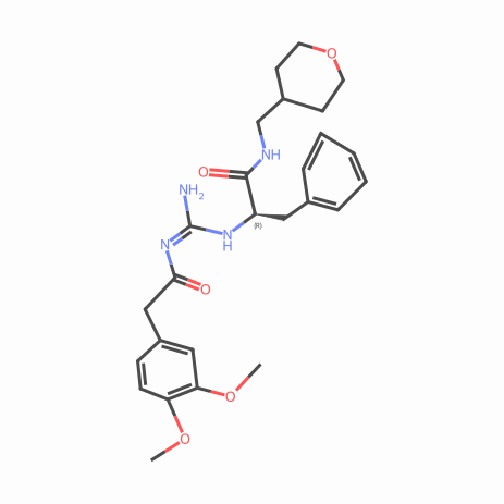 COc1ccc(CC(=O)N=C(N)N[C@H](Cc2ccccc2)C(=O)NCC2CCOCC2)cc1OC